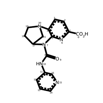 O=C(O)c1ccc2c(n1)N(C(=O)Nc1cccnc1)C1CCN2C1